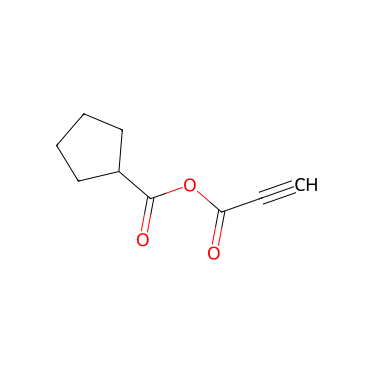 C#CC(=O)OC(=O)C1CCCC1